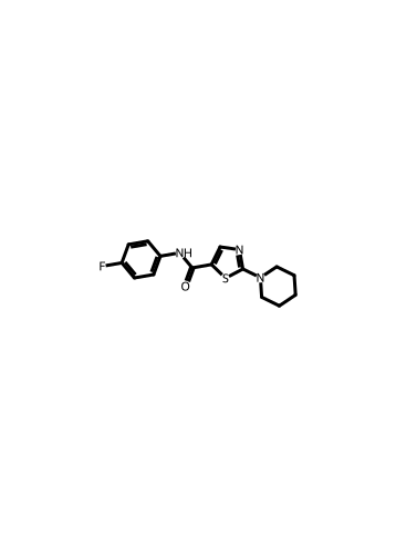 O=C(Nc1ccc(F)cc1)c1cnc(N2CCCCC2)s1